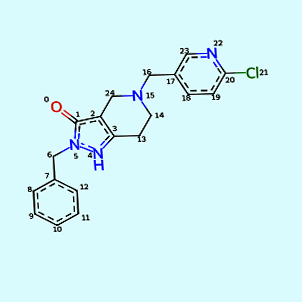 O=c1c2c([nH]n1Cc1ccccc1)CCN(Cc1ccc(Cl)nc1)C2